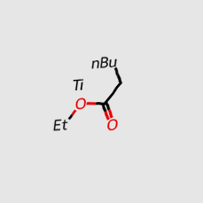 CCCCCC(=O)OCC.[Ti]